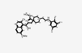 COc1ccc2ncc(Cl)c([C@H](O)CCC3(C(=O)NO)CCN(CCNc4cc(F)cc(F)c4F)CC3)c2c1